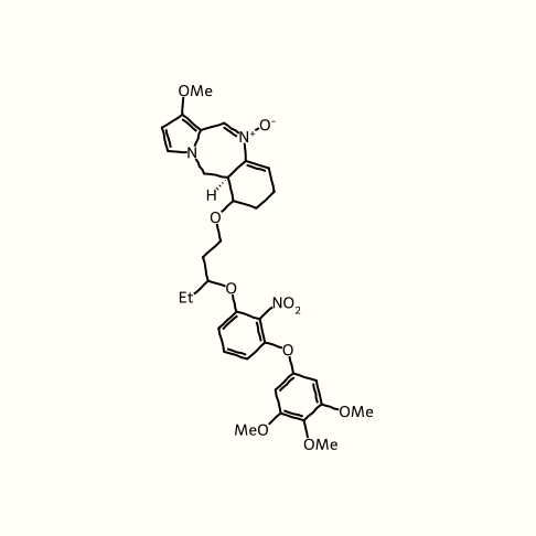 CCC(CCOC1CCC=C2[C@@H]1Cn1ccc(OC)c1C=[N+]2[O-])Oc1cccc(Oc2cc(OC)c(OC)c(OC)c2)c1[N+](=O)[O-]